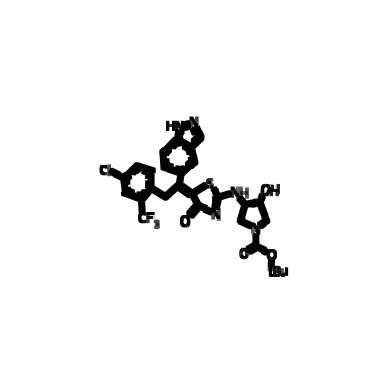 CC(C)(C)OC(=O)N1CC(O)C(NC2=NC(=O)C(=C(Cc3ccc(Cl)cc3C(F)(F)F)c3ccc4[nH]ncc4c3)S2)C1